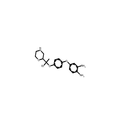 CCC(C)(Oc1ccc(Oc2ccc(N)c(N)c2)cc1)C1CNCCO1